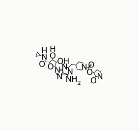 CN1CCC(OC(=O)N2CCC(Cc3nc(N)c4ncn([C@@H]5O[C@H](C(=O)NC6CC6)C(O)C5O)c4n3)CC2)C1=O